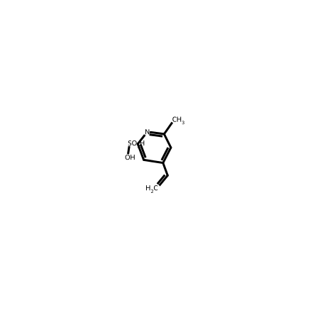 C=Cc1ccnc(C)c1.O=S(=O)(O)O